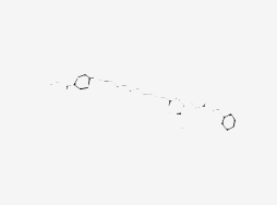 CC(C)(C)OC(=O)c1ccc(SCCCCCCCCCCC(=O)N[C@@H](CCC(=O)OCc2ccccc2)C(=O)OC(C)(C)C)cc1